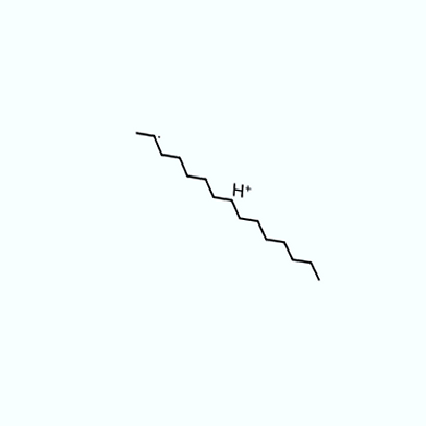 C[CH]CCCCCCCCCCCCC.[H+]